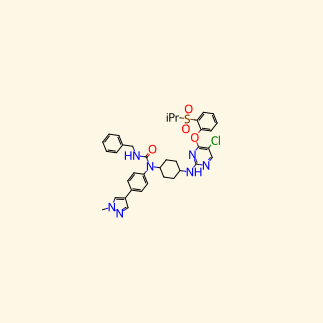 CC(C)S(=O)(=O)c1ccccc1Oc1nc(NC2CCC(N(C(=O)NCc3ccccc3)c3ccc(-c4cnn(C)c4)cc3)CC2)ncc1Cl